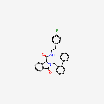 O=C(NCCc1ccc(F)cc1)C1c2ccccc2C(=O)N1Cc1ccccc1-c1ccccc1